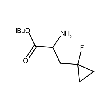 CC(C)COC(=O)C(N)CC1(F)CC1